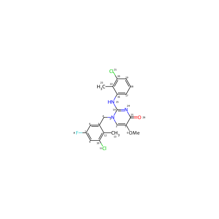 COc1cn(Cc2cc(F)cc(Cl)c2C)c(Nc2cccc(Cl)c2C)nc1=O